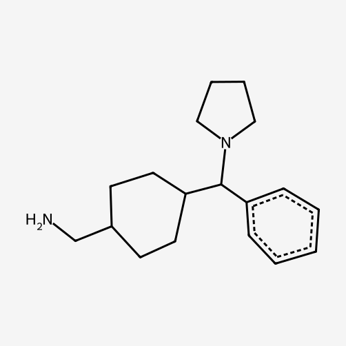 NCC1CCC(C(c2ccccc2)N2CCCC2)CC1